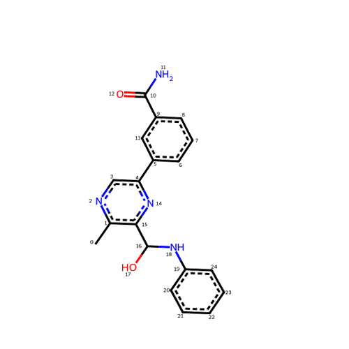 Cc1ncc(-c2cccc(C(N)=O)c2)nc1C(O)Nc1ccccc1